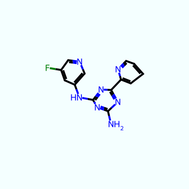 Nc1nc(Nc2cncc(F)c2)nc(-c2ccccn2)n1